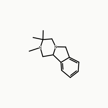 CN1CC2c3ccccc3CN2CC1(C)C